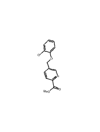 COC(=O)c1ccc(COc2ccccc2Cl)cn1